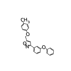 Cc1ccc(OCc2cc(-c3cccc(Oc4ccccc4)c3)no2)cc1